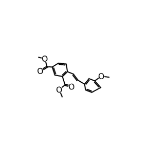 COC(=O)c1ccc(C=Cc2cccc(OC)c2)c(C(=O)OC)c1